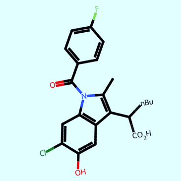 CCCCC(C(=O)O)c1c(C)n(C(=O)c2ccc(F)cc2)c2cc(Cl)c(O)cc12